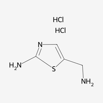 Cl.Cl.NCc1cnc(N)s1